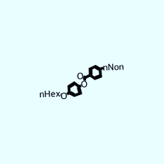 CCCCCCCCCc1ccc(C(=O)Oc2ccc(OCCCCCC)cc2)cc1